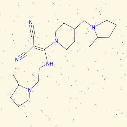 CC1CCCN1CCNC(=C(C#N)C#N)N1CCC(CN2CCCC2C)CC1